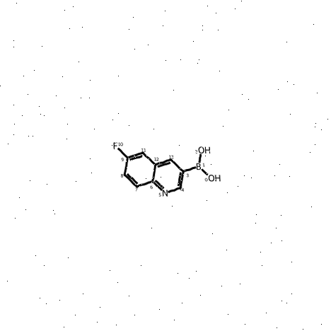 OB(O)c1cnc2ccc(F)cc2c1